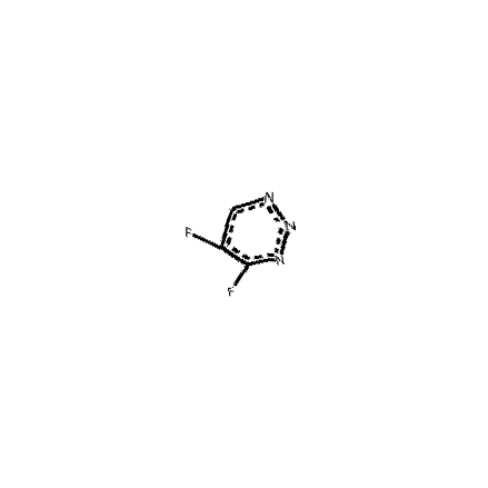 Fc1[c]nnnc1F